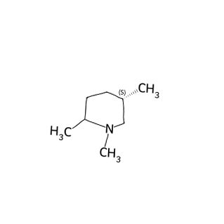 CC1CC[C@H](C)CN1C